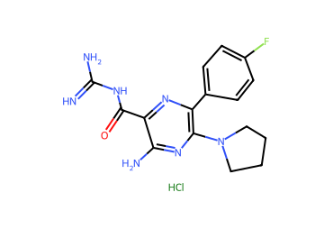 Cl.N=C(N)NC(=O)c1nc(-c2ccc(F)cc2)c(N2CCCC2)nc1N